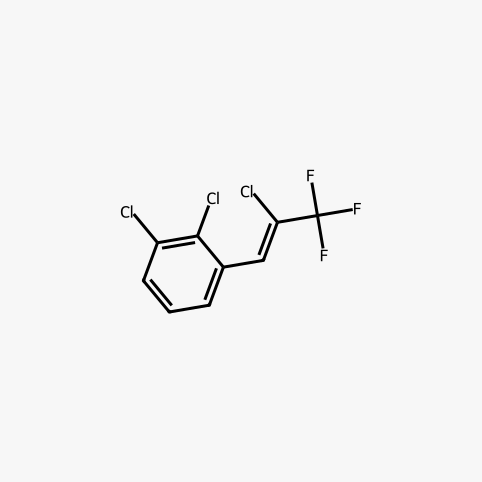 FC(F)(F)/C(Cl)=C/c1cccc(Cl)c1Cl